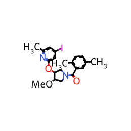 COC1CN(C(=O)c2cc(C)ccc2C)CC1Oc1cc(I)cc(C)n1